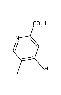 Cc1cnc(C(=O)O)cc1S